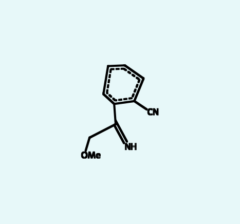 COCC(=N)c1ccccc1C#N